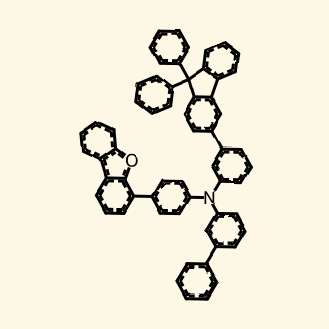 c1ccc(-c2cccc(N(c3ccc(-c4cccc5c4oc4ccccc45)cc3)c3cccc(-c4ccc5c(c4)-c4ccccc4C5(c4ccccc4)c4ccccc4)c3)c2)cc1